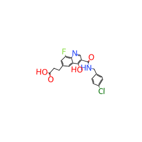 O=C(O)CCc1cc(F)c2ncc(C(=O)NCc3ccc(Cl)cc3)c(O)c2c1